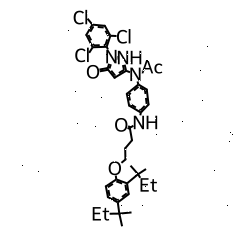 CCC(C)(C)c1ccc(OCCCC(=O)Nc2ccc(N(C(C)=O)c3cc(=O)n(-c4c(Cl)cc(Cl)cc4Cl)[nH]3)cc2)c(C(C)(C)CC)c1